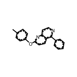 Cc1ccc(Oc2ccc3c(-c4ccccc4)nccc3n2)cc1